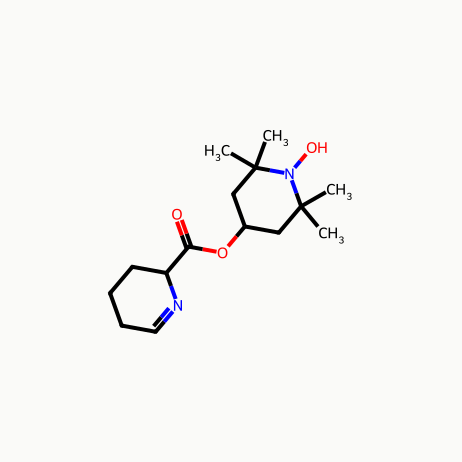 CC1(C)CC(OC(=O)C2CCCC=N2)CC(C)(C)N1O